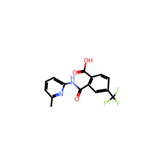 Cc1cccc(NC(=O)c2cc(C(F)(F)F)ccc2C(=O)O)n1